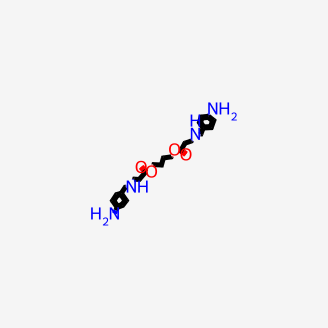 Nc1ccc(CNCCC(=O)OCCCCOC(=O)CCNCc2ccc(N)cc2)cc1